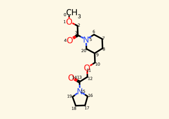 COCC(=O)N1CCCC(COCC(=O)N2CCCC2)C1